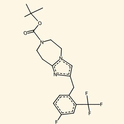 CC(C)(C)OC(=O)N1CCc2nc(Cc3ccc(F)cc3C(F)(F)F)cn2CC1